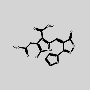 COC(=O)Cc1c(Cl)[nH]c(/C=C2/C(=O)NN=C2c2cccs2)c1C(=O)OC